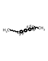 CCCCCCCCOc1ccc(-c2ccc(-c3ccc(C4OCC(CCC)CO4)c(F)c3F)cc2)c(F)c1F